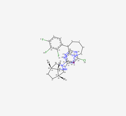 Fc1ccc(C2CCCCn3nc(N[C@H]4[C@@H]5CC[C@H]4CN(c4cc(Cl)ncn4)C5)nc32)c(F)c1F